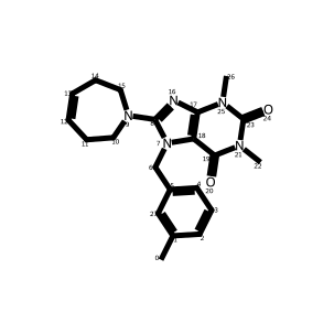 Cc1cccc(Cn2c(N3CCC=CCC3)nc3c2c(=O)n(C)c(=O)n3C)c1